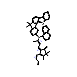 C=C/C=C\C1=C(C)C(C)(C)C(=C)/C1=C\C=C(/C)N(c1ccc2c(c1)-c1c(ccc3c1sc1ccccc13)C2(C)C)c1cccc2ccccc12